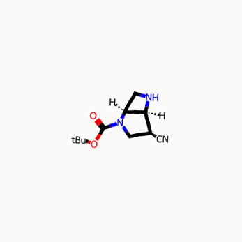 CC(C)(C)OC(=O)N1C[C@H](C#N)[C@@H]2NC[C@@H]21